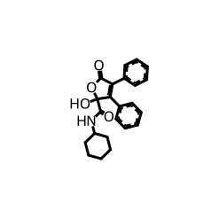 O=C1OC(O)(C(=O)NC2CCCCC2)C(c2ccccc2)=C1c1ccccc1